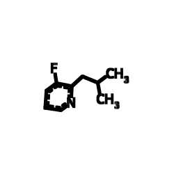 CC(C)Cc1ncccc1F